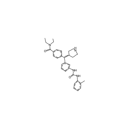 CCN(CC)C(=O)c1ccc(C(=C2CCNCC2)c2cccc(NC(=O)Nc3ccccc3C)c2)cc1